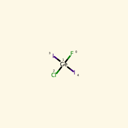 [F][Ge]([Cl])([I])[I]